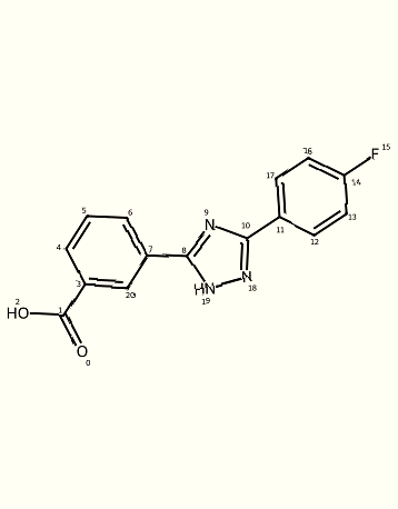 O=C(O)c1cccc(-c2nc(-c3ccc(F)cc3)n[nH]2)c1